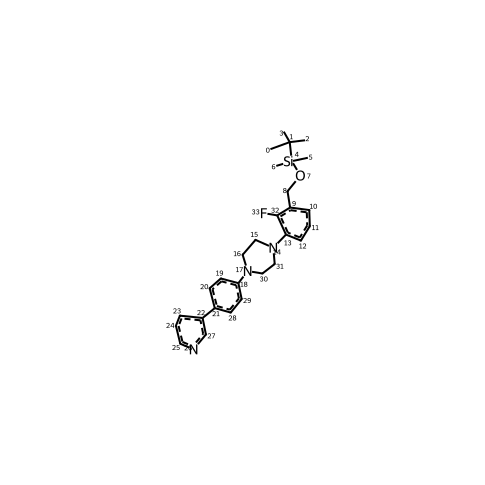 CC(C)(C)[Si](C)(C)OCc1cccc(N2CCN(c3ccc(-c4cccnc4)cc3)CC2)c1F